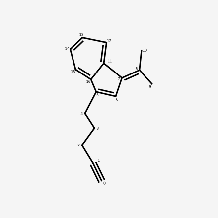 C#CCCCC1=CC(=C(C)C)c2ccccc21